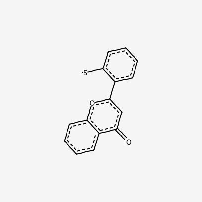 O=c1cc(-c2ccccc2[S])oc2ccccc12